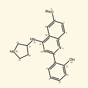 COc1ccc2nc(-c3ccccc3O)nc(NC3CCNC3)c2c1